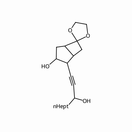 CCCCCCCC(O)C#CC1C(O)CC2C1CC21OCCO1